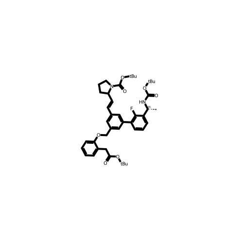 C[C@@H](NC(=O)OC(C)(C)C)c1cccc(-c2cc(C=CC3CCCN3C(=O)OC(C)(C)C)cc(COc3ccccc3CC(=O)OC(C)(C)C)c2)c1F